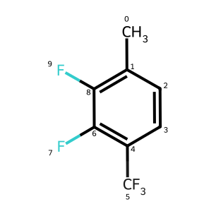 Cc1ccc(C(F)(F)F)c(F)c1F